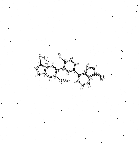 [CH2]c1cnc2cc(OC)c(-c3cc(-c4cnnc5c4ncn5CC)ccc3F)cn12